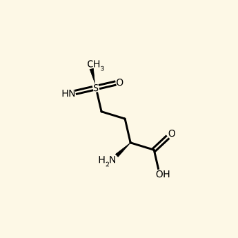 C[S@@](=N)(=O)CC[C@H](N)C(=O)O